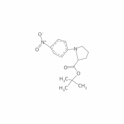 CC(C)(C)OC(=O)C1CCCN1c1ccc([N+](=O)[O-])cc1